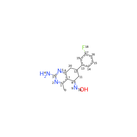 Cc1nc(N)nc2c1C(=NO)CC(c1cccc(F)c1)C2